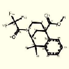 COC(=O)C12CCN(C(=O)C(F)(F)F)C(C1)C(C)(C)c1ccccc12